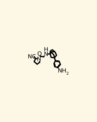 N#CC1CCCN1C(=O)CNC12CC3CC1CC(c1ccc(N)cc1)(C3)C2